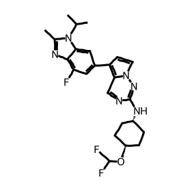 Cc1nc2c(F)cc(-c3ccn4nc(N[C@H]5CC[C@H](OC(F)F)CC5)ncc34)cc2n1C(C)C